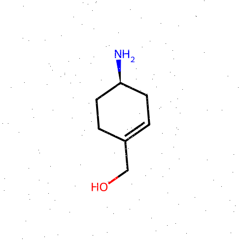 N[C@H]1CC=C(CO)CC1